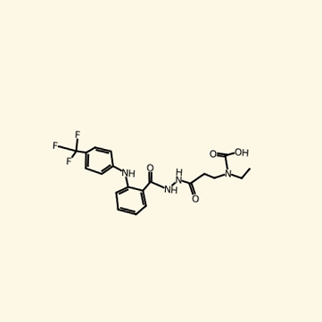 CCN(CCC(=O)NNC(=O)c1ccccc1Nc1ccc(C(F)(F)F)cc1)C(=O)O